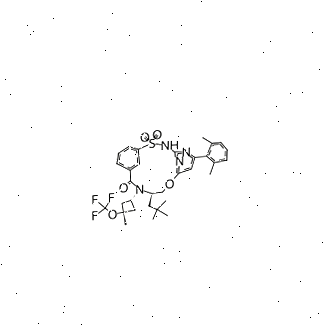 Cc1cccc(C)c1-c1cc2nc(n1)NS(=O)(=O)c1cccc(c1)C(=O)N([C@H]1C[C@@](C)(OC(F)(F)F)C1)[C@H](CC(C)(C)C)CO2